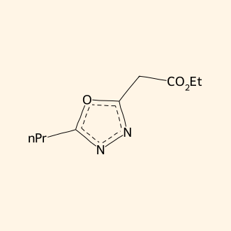 CCCc1nnc(CC(=O)OCC)o1